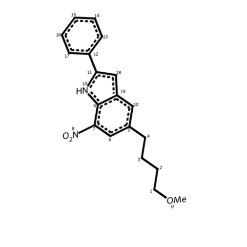 COCCCCc1cc([N+](=O)[O-])c2[nH]c(-c3ccccc3)cc2c1